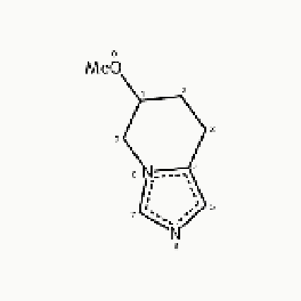 COC1CCc2cncn2C1